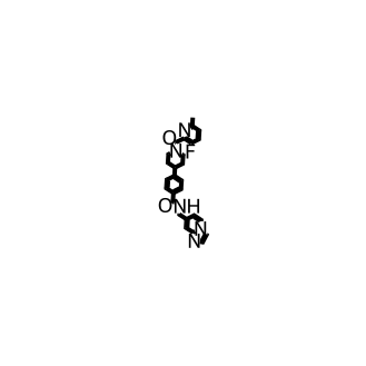 Cc1ccc(F)c(C(=O)N2CCC(c3ccc(C(=O)NCc4ccn5ccnc5c4)cc3)CC2)n1